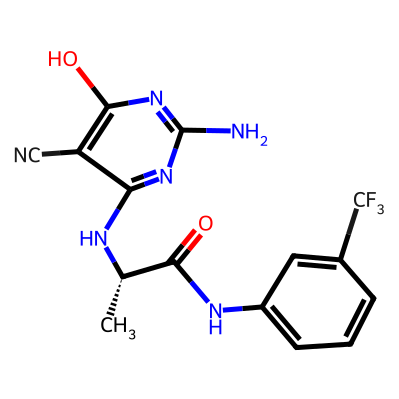 C[C@H](Nc1nc(N)nc(O)c1C#N)C(=O)Nc1cccc(C(F)(F)F)c1